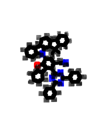 CC1(C)c2ccccc2-c2ccc3c4ccccc4n(-c4cc(C#N)c(-c5nc(-c6ccccc6)nc(-c6ccccc6)n5)c5c4oc4ccccc45)c3c21